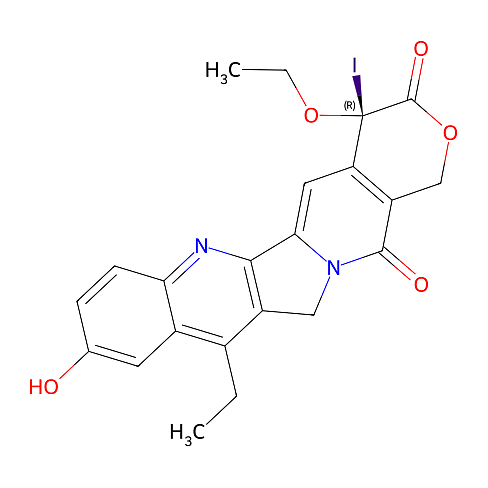 CCO[C@]1(I)C(=O)OCc2c1cc1n(c2=O)Cc2c-1nc1ccc(O)cc1c2CC